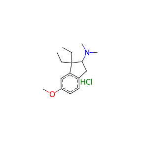 CCC1(CC)c2cc(OC)ccc2CC1N(C)C.Cl